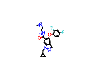 CN(C)CCNC(=O)c1cc2c(cnn2CC2CC2)cc1Oc1ccc(F)cc1F